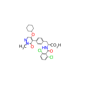 Cn1ncc(OC2CCCCC2)c(-c2ccc(C[C@H](NC(=O)c3c(Cl)cccc3Cl)C(=O)O)cc2)c1=O